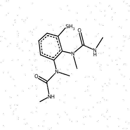 CNC(=O)N(C)c1cccc([SiH3])c1N(C)C(=O)NC